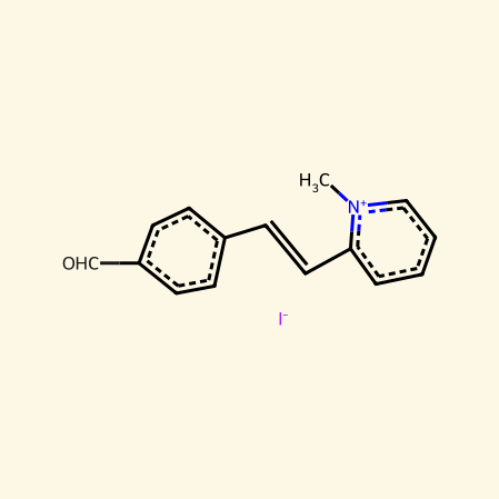 C[n+]1ccccc1C=Cc1ccc(C=O)cc1.[I-]